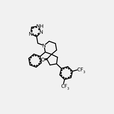 O=C1CC(c2cc(C(F)(F)F)cc(C(F)(F)F)c2)CC12CCCN(Cc1nc[nH]n1)C2c1ccccc1